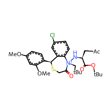 COc1ccc([C@@H]2SCC(=O)[N+](CC(C)(C)C)(N[C@@H](CC(C)=O)C(=O)OC(C)(C)C)c3ccc(Cl)cc32)c(OC)c1